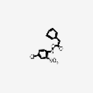 O=C(Cc1ccccc1)OSc1ccc(Cl)cc1[N+](=O)[O-]